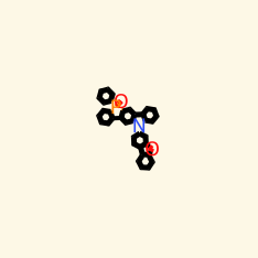 O=P1(c2ccccc2)c2ccccc2-c2cc3c(cc21)c1ccccc1n3-c1ccc2c(c1)oc1ccccc12